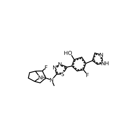 CN(c1nnc(-c2cc(F)c(-c3cn[nH]c3)cc2O)s1)C1CC2CCC(N2)C1F